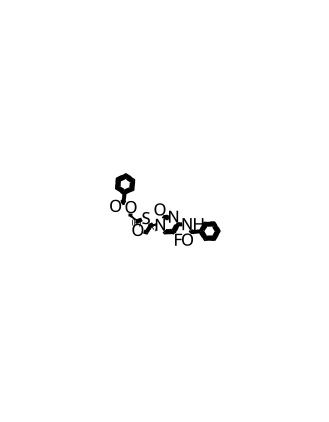 O=C(Nc1nc(=O)n([C@H]2CO[C@@H](COC(=O)c3ccccc3)S2)cc1F)c1ccccc1